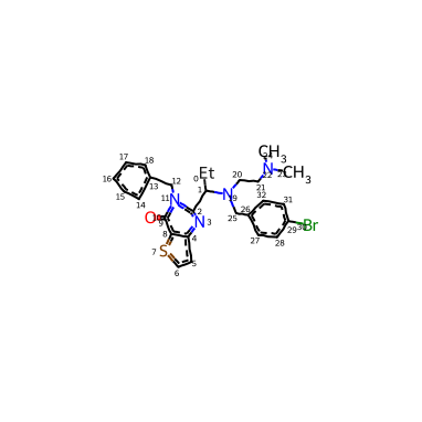 CCC(c1nc2ccsc2c(=O)n1Cc1ccccc1)N(CCN(C)C)Cc1ccc(Br)cc1